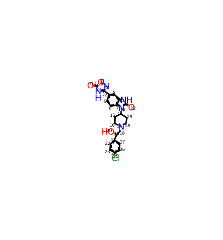 O=c1[nH]c(-c2ccc3c(c2)[nH]c(=O)n3C2CCN(CC(O)c3ccc(Cl)cc3)CC2)no1